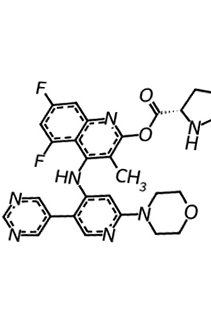 Cc1c(OC(=O)[C@@H]2CCCN2)nc2cc(F)cc(F)c2c1Nc1cc(N2CCOCC2)ncc1-c1cncnc1